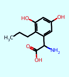 CCCc1c(O)cc(O)cc1C(N)C(=O)O